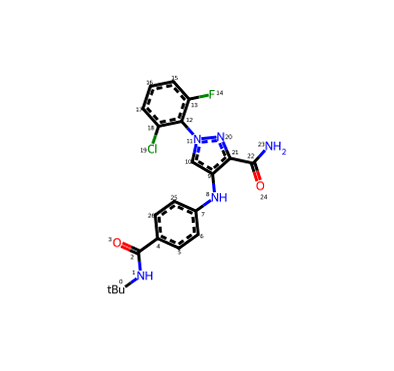 CC(C)(C)NC(=O)c1ccc(Nc2cn(-c3c(F)cccc3Cl)nc2C(N)=O)cc1